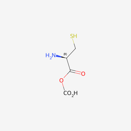 N[C@@H](CS)C(=O)OC(=O)O